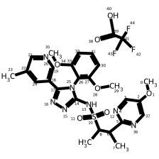 COc1cnc(C(C)C(C)S(=O)(=O)Nc2nnc(-c3cncc(C)c3)n2-c2c(OC)cccc2OC)nc1.O=C(O)C(F)(F)F